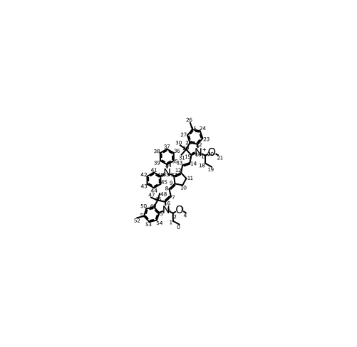 CCC(OC)N1/C(=C/C=C2\CCC(/C=C/C3=[N+](C(CC)OC)c4ccc(C)cc4C3(C)C)=C2N(c2ccccc2)c2ccccc2)C(C)(C)c2cc(C)ccc21